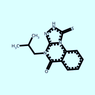 CC(C)Cn1c(=O)c2ccccc2n2c(=S)[nH]nc12